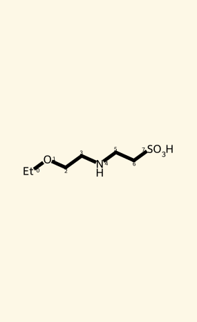 CCOCCNCCS(=O)(=O)O